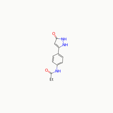 CCC(=O)Nc1ccc(-c2cc(=O)[nH][nH]2)cc1